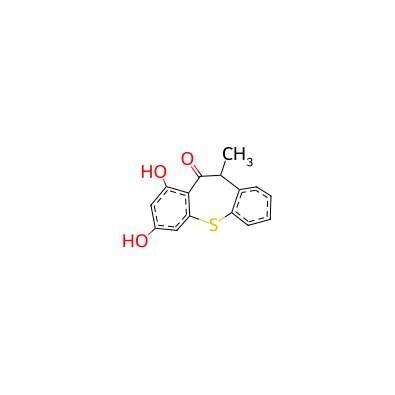 CC1C(=O)c2c(O)cc(O)cc2Sc2ccccc21